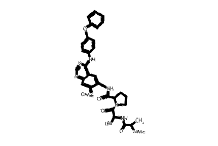 CNC(C)C(=O)NC(C(=O)N1CCCC1C(=O)Nc1cc2c(Nc3ccc(Oc4ccccc4)cc3)ncnc2cc1OC)C(C)(C)C